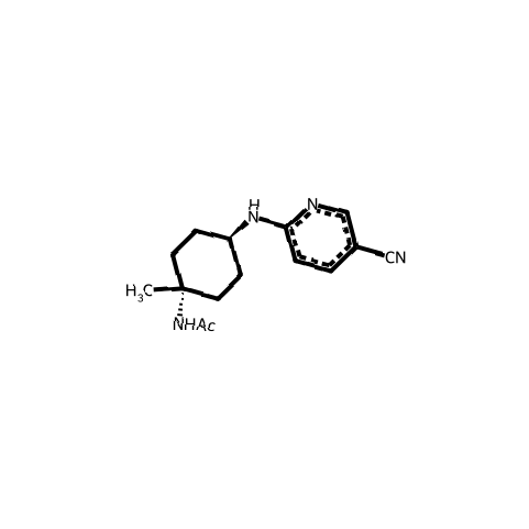 CC(=O)N[C@]1(C)CC[C@@H](Nc2ccc(C#N)cn2)CC1